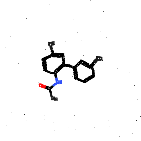 CC(C)(C)C(=O)Nc1ccc(C#N)cc1-c1cccc(C#N)c1